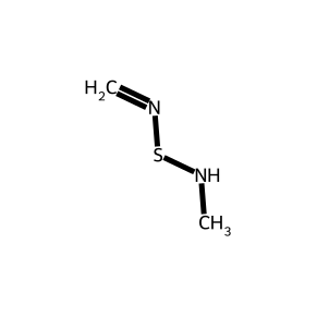 C=NSNC